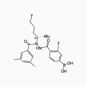 Cc1cc(C)cc(C(=O)N(NC(=O)c2ccc(B(O)O)cc2F)[C@H](CCCF)C(C)(C)C)c1